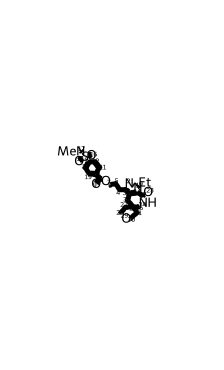 CCn1nc(CCCOC(=O)c2ccc(S(=O)(=O)NC)cc2)c2c1C(=O)NCC1(CCOCC1)C2